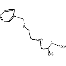 C[C@@H](CNCCOCc1ccccc1)NC(=O)O